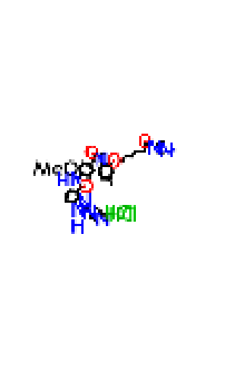 COc1cc(C(=O)N(C)c2ccc(C)cc2OCCCCCC(=O)N2CCN(C)CC2)ccc1NC(=O)c1cccc2[nH]c(N3CCN(C)CC3)nc12.Cl.Cl